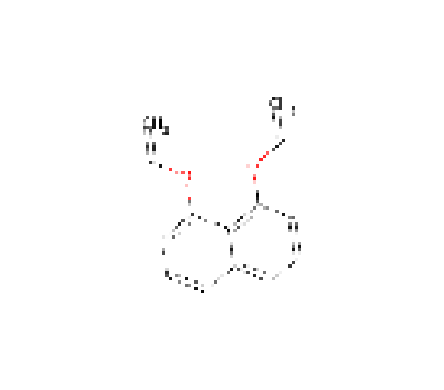 C=COc1cccc2cccc(OC=C)c12